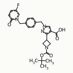 CC(C)(C)OC(=O)N1CC(c2nn(Cc3ccc(Cn4cc(F)ccc4=O)cc3)cc2C(=O)O)C1